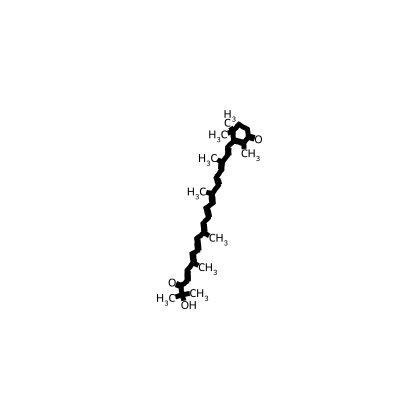 CC1=C(/C=C/C(C)=C/C=C/C(C)=C/C=C/C=C(C)/C=C/C=C(C)/C=C/C(=O)C(C)(C)O)C(C)(C)CCC1=O